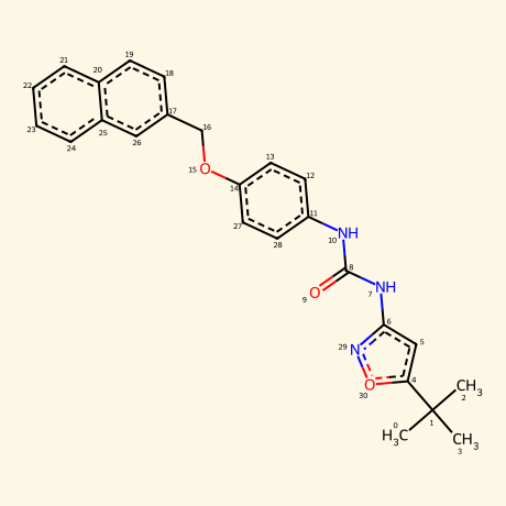 CC(C)(C)c1cc(NC(=O)Nc2ccc(OCc3ccc4ccccc4c3)cc2)no1